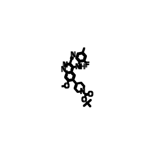 COc1cc2nnc(C#N)c(Nc3ccc(C)cc3F)c2cc1C1=CCN(C(=O)OC(C)(C)C)CC1